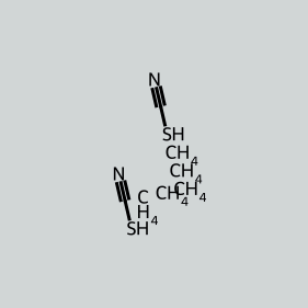 C.C.C.C.C.N#CS.N#CS